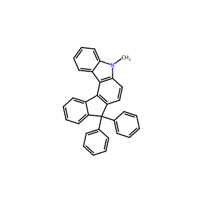 Cn1c2ccccc2c2c3c(ccc21)C(c1ccccc1)(c1ccccc1)c1ccccc1-3